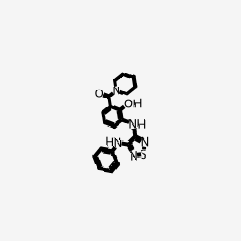 O=C(c1cccc(Nc2nsnc2Nc2ccccc2)c1O)N1CCCCC1